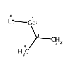 C[CH2][Ge][CH](C)C